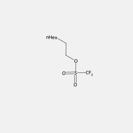 CCCCCCCCOS(=O)(=O)C(F)(F)F